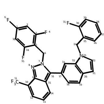 Fc1cc(F)c(Cn2nc3c(C(F)(F)F)cccc3c2-c2ccc3ccn(Cc4ccccc4F)c3c2)c(F)c1